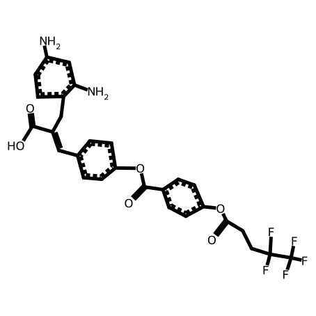 Nc1ccc(C/C(=C\c2ccc(OC(=O)c3ccc(OC(=O)CCC(F)(F)C(F)(F)F)cc3)cc2)C(=O)O)c(N)c1